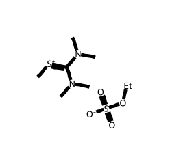 CCOS(=O)(=O)[O-].C[S+]=C(N(C)C)N(C)C